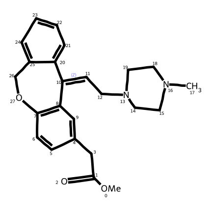 COC(=O)Cc1ccc2c(c1)/C(=C\CN1CCN(C)CC1)c1ccccc1CO2